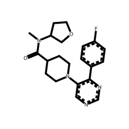 CN(C(=O)C1CCN(c2cncnc2-c2ccc(F)cc2)CC1)C1CCOC1